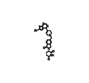 CC(C)c1cc2c(C3=CCN(Cc4ccc5c(c4)CN(C4CCC(=O)NC4=O)C5=O)CC3)ncnc2s1